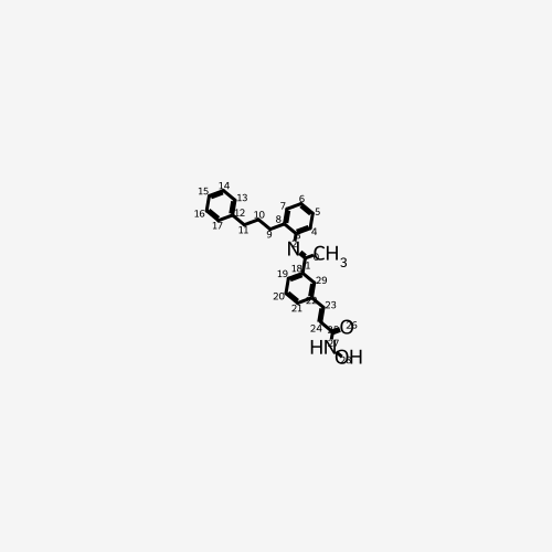 C/C(=N\c1ccccc1CCCc1ccccc1)c1cccc(/C=C/C(=O)NO)c1